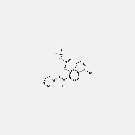 Cc1cc2c(Br)cccc2c(OC(=O)OC(C)(C)C)c1C(=O)Oc1ccccc1